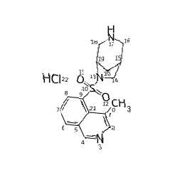 Cc1cncc2cccc(S(=O)(=O)N3CC4CNCC3C4)c12.Cl